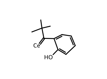 CC(C)(C)[C](=[Ce])c1ccccc1O